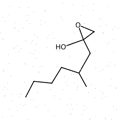 CCCCC(C)CC1(O)CO1